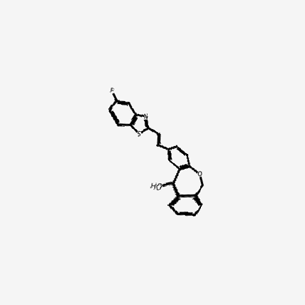 OC1c2ccccc2COc2ccc(C=Cc3nc4cc(F)ccc4s3)cc21